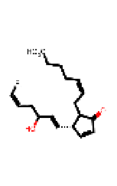 CC/C=C\CC(O)/C=C/[C@H]1C=CC(=O)C1C/C=C\CCCC(=O)O